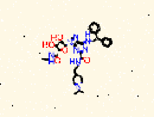 CCNC(=O)[C@H]1O[C@@H](n2cnc3c(NCC(c4ccccc4)c4ccccc4)nc(C(=O)NCCC4CCN(C(C)C)CC4)nc32)[C@H](O)[C@@H]1O